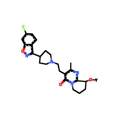 Cc1nc2n(c(=O)c1CCN1CCC(c3noc4cc(F)ccc34)CC1)CCCC2[O][Y]